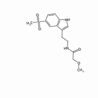 COCC(=O)NCCc1c[nH]c2ccc(S(C)(=O)=O)cc12